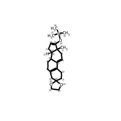 CC12CC=C3C4=C(CCC3[C@@H]1CC=C2O[Si](C)(C)C)CC1(CC4)OCCO1